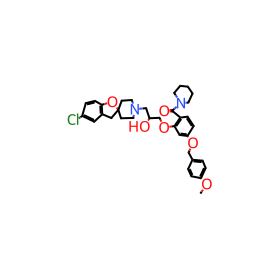 COc1ccc(COc2ccc(C(=O)N3CCCCC3)c(OC[C@@H](O)CN3CCC4(CC3)Cc3cc(Cl)ccc3O4)c2)cc1